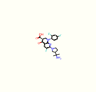 CC(C)(N)C1CCN(c2nc3c(cc2F)c(=O)c(C(=O)O)cn3-c2ccc(F)cc2F)C1